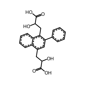 O=C(O)C(O)Cc1cc(-c2ccccc2)c(CC(O)C(=O)O)c2ccccc12